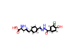 NC(C/C=C/c1ccc(/C=N/NC(=O)c2ccc(O)c(Cl)c2)cc1)C(=O)O